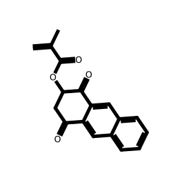 C=C(C)C(=O)OC1CC(=O)c2cc3ccccc3cc2C1=O